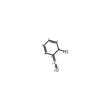 O=C=C1[C]=CC=CC1Cl